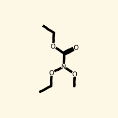 CCOC(=O)N(OC)OCC